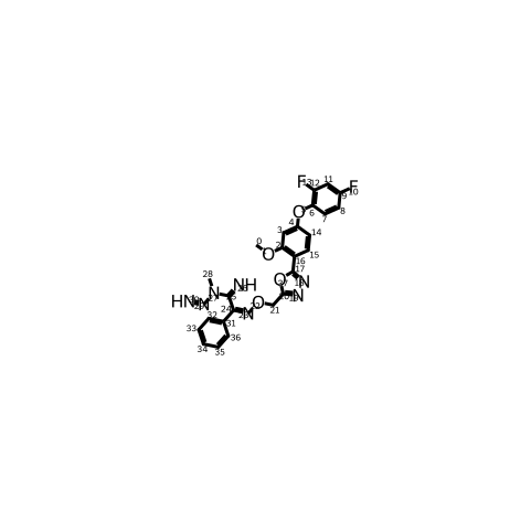 COc1cc(Oc2ccc(F)cc2F)ccc1-c1nnc(CO/N=C(\C(=N)N(C)N=N)c2ccccc2)o1